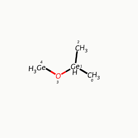 [CH3][GeH]([CH3])[O][GeH3]